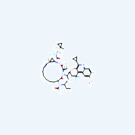 CCC(C)N(C(=O)O)[C@H]1CCCCC/C=C\[C@@H]2C[C@@]2(C(=O)NS(=O)(=O)C2(C)CC2)NC(=O)[C@@H]2C[C@]3(CC(F)(F)c4c(c(C5CC5)nc5ccc(OC)cc45)O3)C(C)N2C1=O